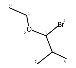 CCOC(Br)[C](C)C